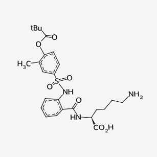 Cc1cc(S(=O)(=O)Nc2ccccc2C(=O)N[C@@H](CCCCN)C(=O)O)ccc1OC(=O)C(C)(C)C